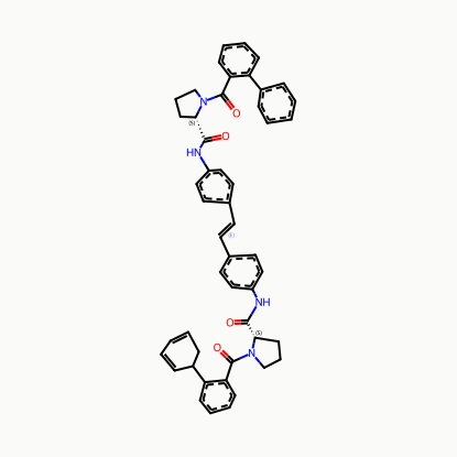 O=C(Nc1ccc(/C=C/c2ccc(NC(=O)[C@@H]3CCCN3C(=O)c3ccccc3C3C=CC=CC3)cc2)cc1)[C@@H]1CCCN1C(=O)c1ccccc1-c1ccccc1